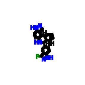 Fc1n[nH]c2ccc([C@@H]3Nc4ccc5[nH]ncc5c4[C@H]4C5CC[C@@H](C5)[C@@H]34)cc12